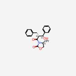 CCC[C@H]1COC(=O)N1C(=O)[C@H](Cc1ccccc1)[C@H](O)c1ccccc1